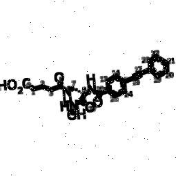 O=C(O)CCCC(=O)NC[C@H](NC(=O)c1ccc(C#Cc2ccccc2)cc1)C(=O)NO